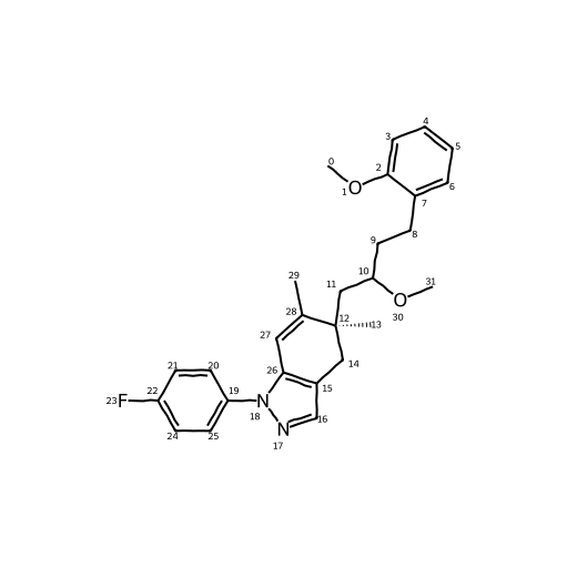 COc1ccccc1CCC(C[C@@]1(C)Cc2cnn(-c3ccc(F)cc3)c2C=C1C)OC